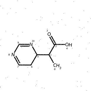 CC(C(=O)O)C1CC=NC=N1